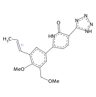 C/C=C/c1cc(-c2ccc(-c3nnn[nH]3)c(=O)[nH]2)cc(COC)c1OC